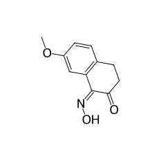 COc1ccc2c(c1)C(=NO)C(=O)CC2